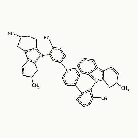 CC1C=Cc2c3c(n(-c4cc(-c5ccc(-c6cccc(C#N)c6-n6c7c(c8ccccc86)C=CC(C)C7)cc5)ccc4C#N)c2C1)CCC(C#N)C3